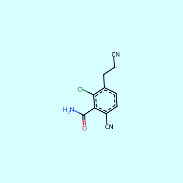 N#C[CH]Cc1ccc(C#N)c(C(N)=O)c1Cl